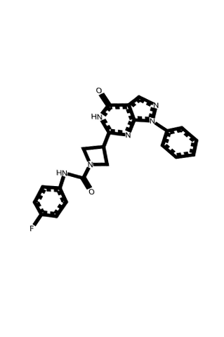 O=C(Nc1ccc(F)cc1)N1CC(c2nc3c(cnn3-c3ccccc3)c(=O)[nH]2)C1